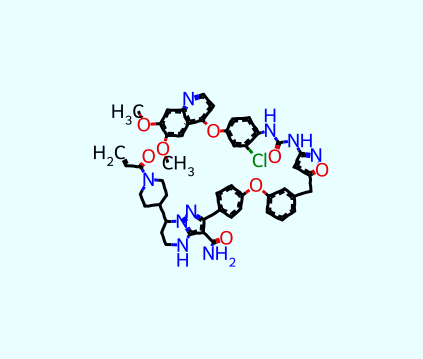 C=CC(=O)N1CCC(C2CCNc3c(C(N)=O)c(-c4ccc(Oc5cccc(Cc6cc(NC(=O)Nc7ccc(Oc8ccnc9cc(OC)c(OC)cc89)cc7Cl)no6)c5)cc4)nn32)CC1